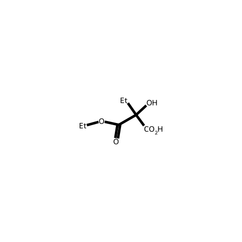 CCOC(=O)C(O)(CC)C(=O)O